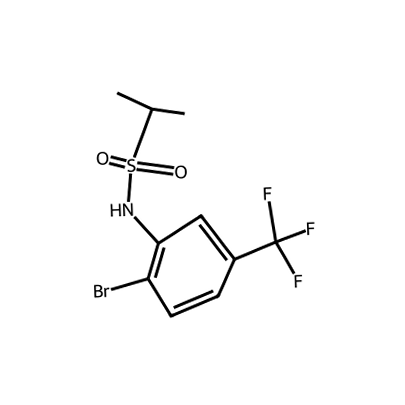 CC(C)S(=O)(=O)Nc1cc(C(F)(F)F)ccc1Br